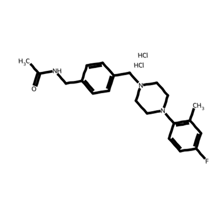 CC(=O)NCc1ccc(CN2CCN(c3ccc(F)cc3C)CC2)cc1.Cl.Cl